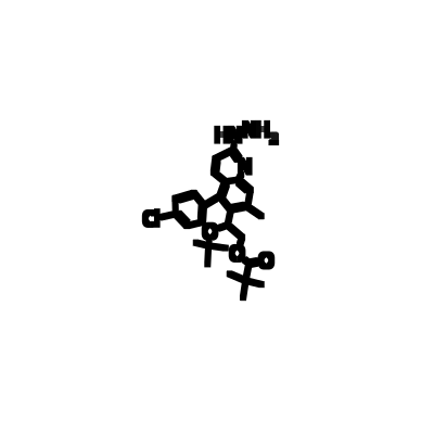 Cc1cc2nc(NN)ccc2c(-c2ccc(Cl)cc2)c1C(COC(=O)C(C)(C)C)OC(C)(C)C